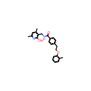 Cc1cc(C)c(CNC(=O)c2ccc(CCOc3ccccc3C)cc2)c(O)n1